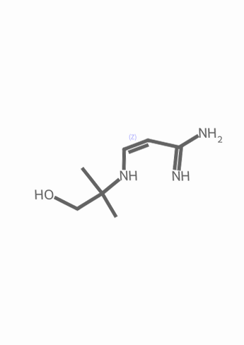 CC(C)(CO)N/C=C\C(=N)N